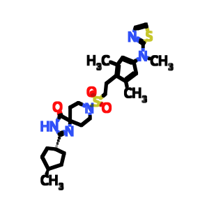 Cc1cc(N(C)c2nccs2)cc(C)c1CCS(=O)(=O)N1CCC2(CC1)N=C([C@H]1CC[C@H](C)CC1)NC2=O